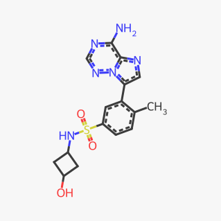 Cc1ccc(S(=O)(=O)NC2CC(O)C2)cc1-c1cnc2c(N)ncnn12